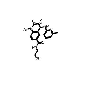 CC(=O)N1c2ccc(C(=O)NCCO)cc2C(Nc2cccc(C)n2)[C@@H](C)[C@@H]1C